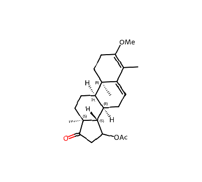 COC1=C(C)C2=CC[C@@H]3[C@@H](CC[C@]4(C)C(=O)CC(OC(C)=O)[C@@H]34)[C@@]2(C)CC1